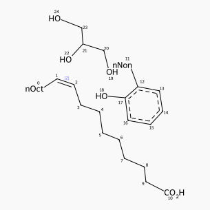 CCCCCCCC/C=C\CCCCCCCC(=O)O.CCCCCCCCCc1ccccc1O.OCC(O)CO